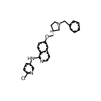 Clc1ccc(Nc2nccc3cc(OC[C@@H]4CCN(Cc5ccccc5)C4)ccc23)cn1